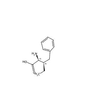 CC[C@H](Cc1ccccc1)[C@H](N)C(=O)O